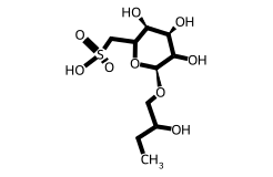 CCC(O)CO[C@H]1OC(CS(=O)(=O)O)[C@@H](O)[C@@H](O)C1O